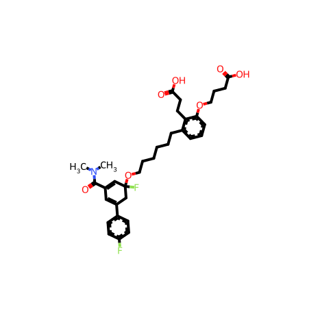 CN(C)C(=O)C1=CC(F)(OCCCCCCc2cccc(OCCCC(=O)O)c2CCC(=O)O)CC(c2ccc(F)cc2)=C1